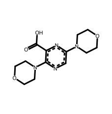 O=C(O)c1nc(N2CCOCC2)cnc1N1CCOCC1